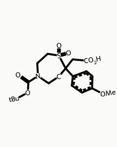 COc1ccc(C2(CC(=O)O)CCN(C(=O)OC(C)(C)C)CCS2(=O)=O)cc1